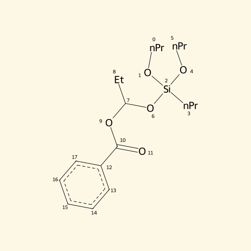 CCCO[Si](CCC)(OCCC)OC(CC)OC(=O)c1ccccc1